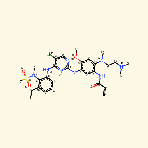 C=CC(=O)Nc1cc(Nc2ncc(Cl)c(Nc3cccc(CC)c3N(C)S(C)(=O)=O)n2)c(OC)cc1N(C)CCN(C)C